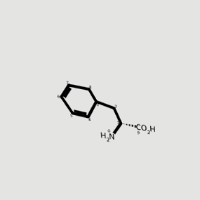 N[C@H](CC1C=CC=CC1)C(=O)O